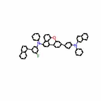 Fc1cc(-c2cccc3ccccc23)cc(N(c2ccccc2)c2ccc3c4c(cccc24)Oc2cc(-c4ccc(N(c5ccccc5)c5ccc6ccccc6c5)cc4)ccc2-3)c1